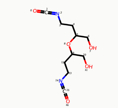 O=C=NCCC(CO)OC(CO)CCN=C=O